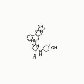 CC1(O)CCC(Nc2nc(NCc3cnc(N)nc3-c3ccccc3)ncc2C#N)CC1